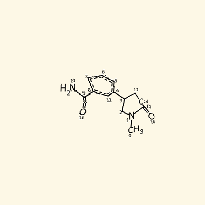 CN1CC(c2c[c]cc(C(N)=O)c2)CCC1=O